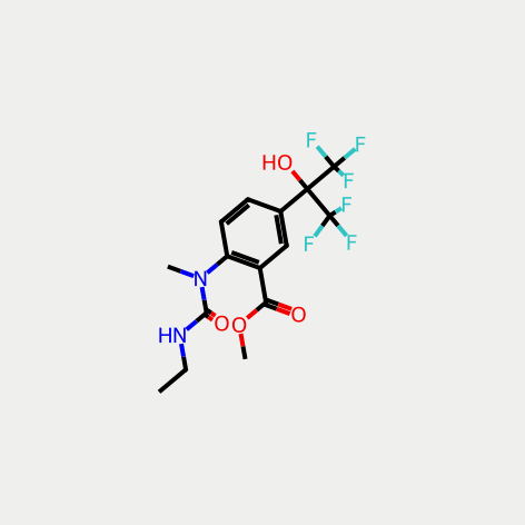 CCNC(=O)N(C)c1ccc(C(O)(C(F)(F)F)C(F)(F)F)cc1C(=O)OC